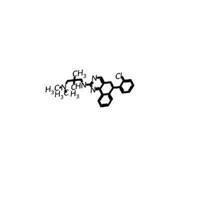 CN(C)CC(C)(C)CNc1ncc2c(n1)-c1ccccc1C(c1ccccc1Cl)C2